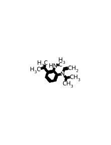 C=CN(c1cccc(C(C)C)c1NC)C(C)C